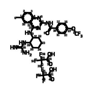 Cc1ccc2nc(NC(=O)c3ccc(OC(F)(F)F)cc3)nc(NC3CCCCC3NC(=N)N)c2c1.O=C(O)C(F)(F)F.O=C(O)C(F)(F)F